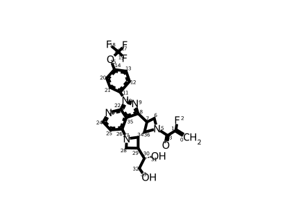 C=C(F)C(=O)N1CC(c2nn(-c3ccc(OC(F)(F)F)cc3)c3nccc(N4CC([C@H](O)CO)C4)c23)C1